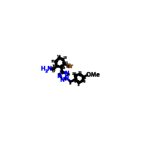 COc1ccc(Cn2nnc(-c3c(Br)cccc3CN)n2)cc1